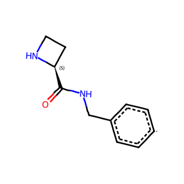 O=C(NCc1cc[c]cc1)[C@@H]1CCN1